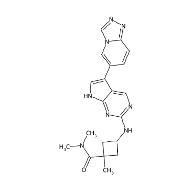 CN(C)C(=O)C1(C)CC(Nc2ncc3c(-c4ccc5nncn5c4)c[nH]c3n2)C1